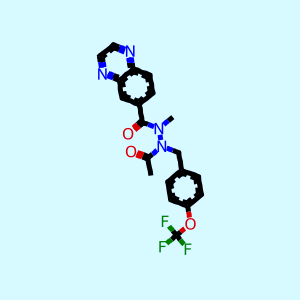 CC(=O)N(Cc1ccc(OC(F)(F)F)cc1)N(C)C(=O)c1ccc2nccnc2c1